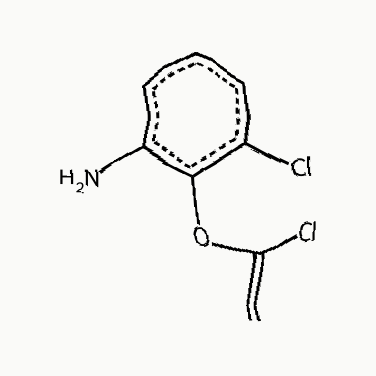 C=C(Cl)Oc1c(N)cccc1Cl